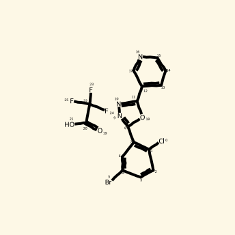 Clc1ccc(Br)cc1-c1nnc(-c2cccnc2)o1.O=C(O)C(F)(F)F